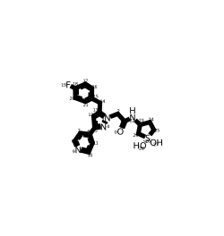 O=C(Cn1nc(-c2ccncc2)cc1Cc1ccc(F)cc1)NC1CCS(O)(O)C1